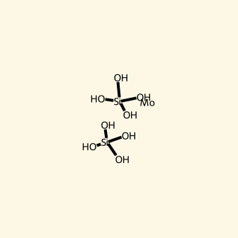 O[Si](O)(O)O.O[Si](O)(O)O.[Mo]